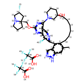 Cc1cc2[nH]ncc2c2c1CCCCCC[C@]1(O)CCCN(C1)c1nc(OC[C@@]34CCCN3C[C@H](F)C4)nc3c(F)c-2ncc13.O=C(O)C(F)(F)F.O=C(O)C(F)(F)F